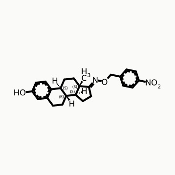 C[C@]12CC[C@@H]3c4ccc(O)cc4CC[C@H]3[C@@H]1CCC2=NOCc1ccc([N+](=O)[O-])cc1